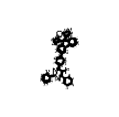 Ic1c(-c2ccccc2)nc(-c2ccccc2)nc1-c1ccc(-c2ccc3c(c2)-c2ccccc2C32c3ccccc3Oc3ccccc32)cc1